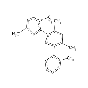 Cc1cc[n+](C)c(-c2cc(-c3ccccc3C)c(C)cc2C)c1